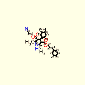 CC1=C(C(=O)OCCC#N)C(c2cccc(C)c2)C(C(=O)OCCCc2ccccc2)=C(C)N1